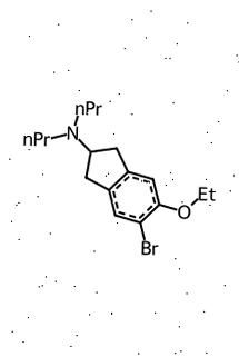 CCCN(CCC)C1Cc2cc(Br)c(OCC)cc2C1